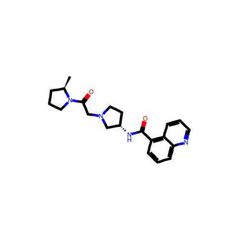 C[C@@H]1CCCN1C(=O)CN1CC[C@H](NC(=O)c2cccc3ncccc23)C1